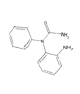 NC(=O)N(c1[c]cccc1)c1ccccc1N